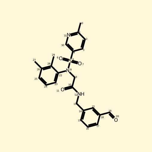 Cc1ccc(S(=O)(=O)N(CC(=O)NCc2cccc(C=O)c2)c2cccc(C)c2C)cn1